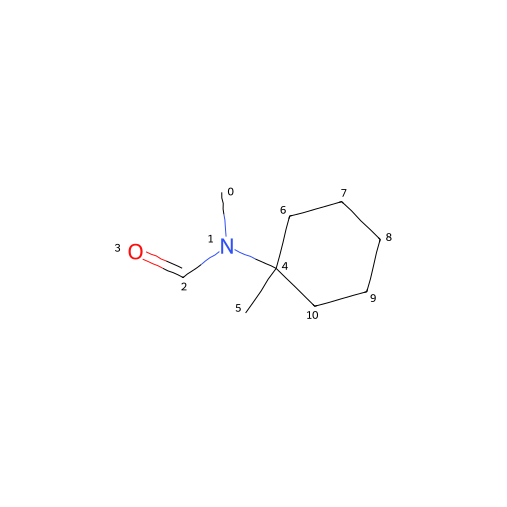 CN(C=O)C1(C)CCCCC1